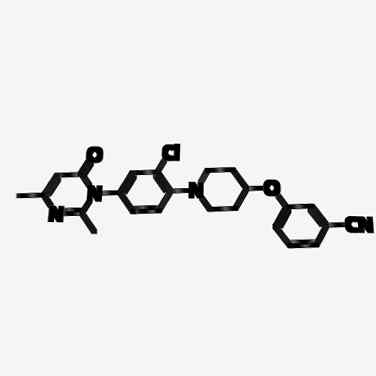 Cc1cc(=O)n(-c2ccc(N3CCC(Oc4cccc(C#N)c4)CC3)c(Cl)c2)c(C)n1